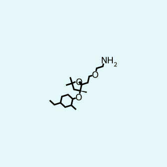 CCC1CCC(O[C@](C)(CC(C)(C)C)C(=O)CCOCCN)C(C)C1